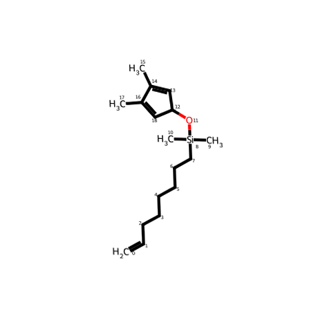 C=CCCCCCC[Si](C)(C)O[C]1C=C(C)C(C)=C1